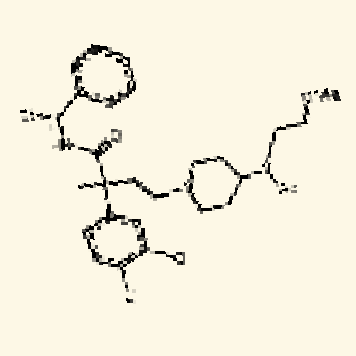 CC[C@H](NC(=O)C(C)(CCN1CCC(N(CCOC)C(C)=O)CC1)c1ccc(Cl)c(Cl)c1)c1ccccc1